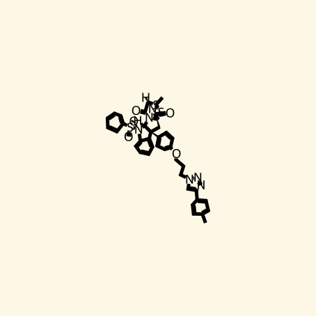 Cc1ccc(-c2cn(CCCOc3ccc([C@]45C[C@@]67SS[C@@H](C(=O)N6[C@H]4N(S(=O)(=O)c4ccccc4)c4ccccc45)N(C)C7=O)cc3)nn2)cc1